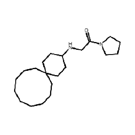 O=C(CNC1CCC2(CCCCCCCCC2)CC1)N1CCCC1